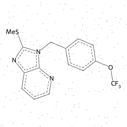 CSc1nc2cccnc2n1Cc1ccc(OC(F)(F)F)cc1